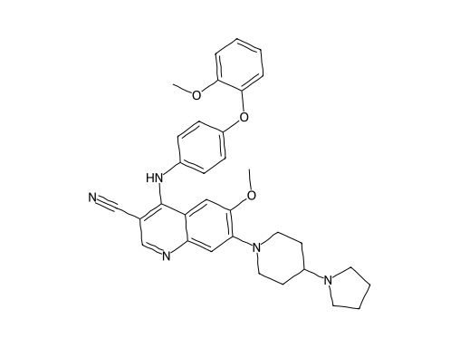 COc1ccccc1Oc1ccc(Nc2c(C#N)cnc3cc(N4CCC(N5CCCC5)CC4)c(OC)cc23)cc1